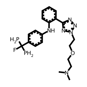 CN(C)CCOCCn1nnc(-c2ccccc2Nc2ccc(C(F)(P)P)cc2)n1